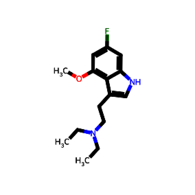 CCN(CC)CCc1c[nH]c2cc(F)cc(OC)c12